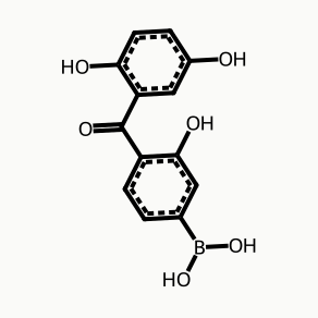 O=C(c1ccc(B(O)O)cc1O)c1cc(O)ccc1O